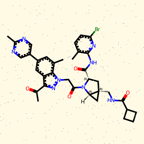 CC(=O)c1nn(CC(=O)N2[C@H](C(=O)Nc3nc(Br)ccc3C)C[C@@]3(CNC(=O)C4CCC4)C[C@@H]23)c2c(C)cc(-c3cnc(C)nc3)cc12